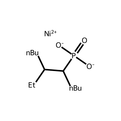 CCCCC(CC)C(CCCC)P(=O)([O-])[O-].[Ni+2]